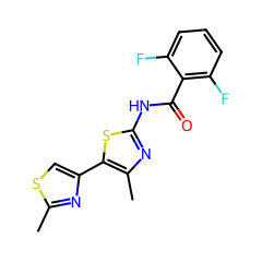 Cc1nc(-c2sc(NC(=O)c3c(F)cccc3F)nc2C)cs1